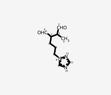 CC(C=O)C(C=O)CCCn1cncn1